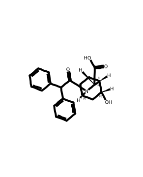 O=C(O)[C@@H]1[C@@H]2CC[C@@H](C[C@H]2O)N1C(=O)C(c1ccccc1)c1ccccc1